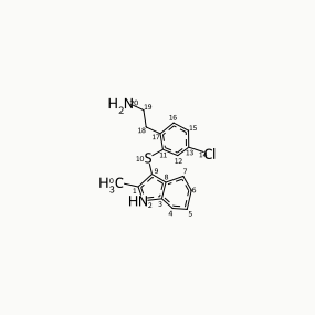 Cc1[nH]c2ccccc2c1Sc1cc(Cl)ccc1CCN